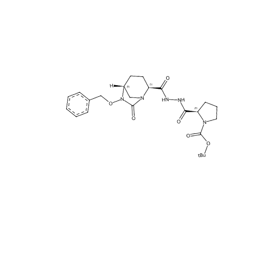 CC(C)(C)OC(=O)N1CCC[C@@H]1C(=O)NNC(=O)[C@@H]1CC[C@@H]2CN1C(=O)N2OCc1ccccc1